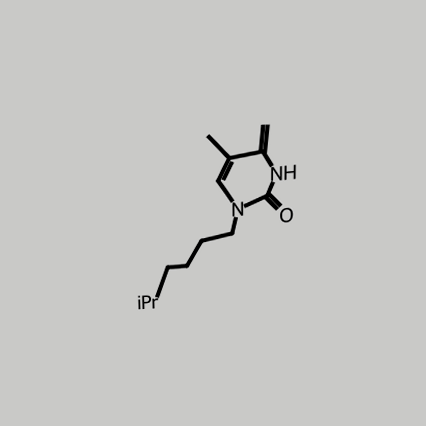 C=C1NC(=O)N(CCCCC(C)C)C=C1C